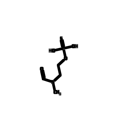 CN(C=O)CCOP(O)(O)=S